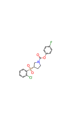 O=C(Oc1ccc(F)cc1)N1CC[C@@H](S(=O)(=O)c2ccccc2Cl)C1